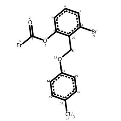 CCC(=O)Oc1cccc(Br)c1COc1ccc(C)cc1